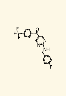 O=C(c1ccc(C(F)(F)F)cc1)c1cnc(NCc2ccc(F)cc2)nc1